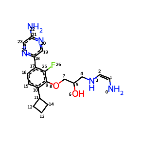 N/C=C\NCC(O)COc1c(C2CCC2)ccc(-c2cnc(N)cn2)c1F